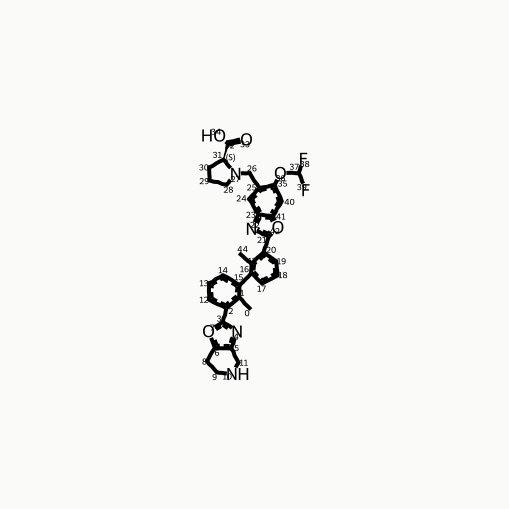 Cc1c(-c2nc3c(o2)CCNC3)cccc1-c1cccc(-c2nc3cc(CN4CCC[C@H]4C(=O)O)c(OC(F)F)cc3o2)c1C